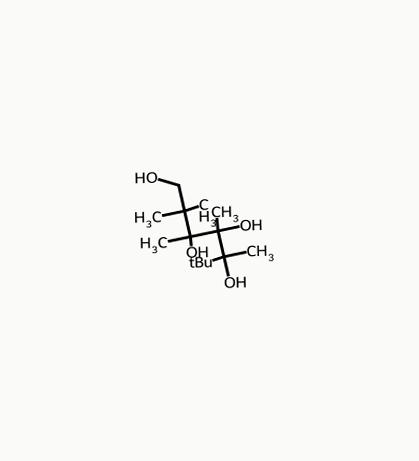 CC(C)(C)C(C)(O)C(C)(O)C(C)(O)C(C)(C)CO